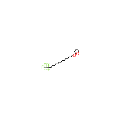 FC(F)(F)C(F)(F)C(F)(F)CCCCCCCCCCCCCCOC1CCCCO1